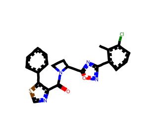 Cc1c(Cl)cccc1-c1noc(C2CCN2C(=O)c2ncsc2-c2ccccc2)n1